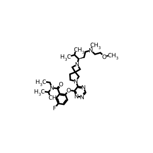 CCN(C(=O)c1cc(F)ccc1Oc1nncnc1N1CCC2(C1)CN([C@H](CCN(C)CCOC)C(C)C)C2)C(C)C